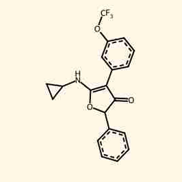 O=C1C(c2cccc(OC(F)(F)F)c2)=C(NC2CC2)OC1c1ccccc1